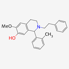 COc1cc2c(cc1O)C(c1ccccc1C)N(CCc1ccccc1)CC2